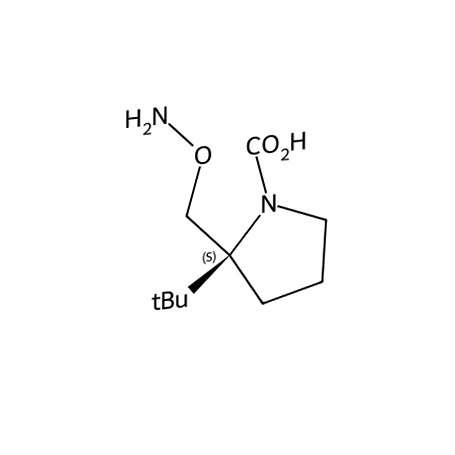 CC(C)(C)[C@]1(CON)CCCN1C(=O)O